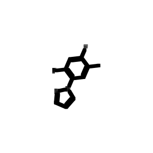 Cc1cc(-n2cccn2)c(F)cc1F